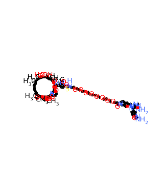 CO[C@H]1C[C@@H]2CC[C@@H](C)[C@@](O)(O2)C(=O)C(=O)N2CCCC[C@H]2C(=O)O[C@H]([C@H](N)C[C@@H]2CC[C@@H](OC(=S)NCCOCCOCCOCCOCCOCCOCCOCCOCCC(=O)N3CCc4cc(Cn5nc(-c6ccc7oc(N)nc7c6)c6c(N)ncnc65)ccc4C3)[C@H](OC)C2)CC(=O)[C@H](C)/C=C(\C)[C@@H](O)[C@@H](O)C(=O)[C@H](C)C[C@H](C)/C=C/C=C/C=C/1C